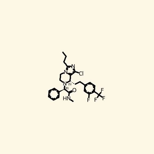 CCCc1nc(Cl)c2n1CCN([C@@H](C(=O)NC)c1ccccc1)[C@H]2CCc1ccc(C(F)(F)F)c(F)c1